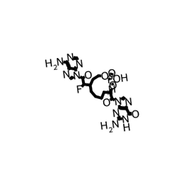 Nc1nc2c(ncn2C2OC3CCC4C(COP(=O)(O)O[C@H]2C3)OC(n2cnc3c(N)ncnc32)C4F)c(=O)[nH]1